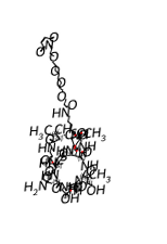 CC[C@H](C)[C@@H]1CCNC(=O)CNC(=O)[C@@H]2CNC(=O)[C@H]([C@@H](C)[C@@H](O)CO)NC(=O)[C@@H]3C[C@@H](O)CN3C(=O)[C@H](CC(N)=O)NC(=O)[C@@H](C[S+]([O-])C3Nc4c(ccc(OC)c4CSCCCCNC(=O)CCOCCOCCOCCOCCN4C(=O)C=CC4=O)C32)NC(=O)CNC1=O